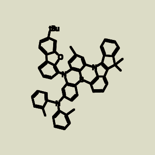 Cc1cc2c3c(c1)-n1c4c(c5cccc(c51)B3c1ccc(N(c3ccccc3C)c3ccccc3C)cc1N2c1cccc2c1oc1cc(C(C)(C)C)ccc12)C(C)(C)c1ccccc1-4